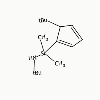 CC(C)(C)N[Si](C)(C)C1=CC=CC1C(C)(C)C